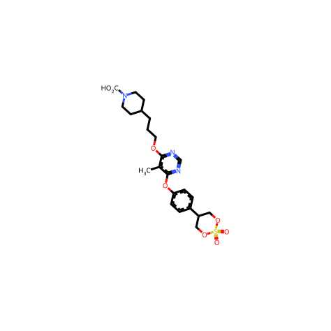 Cc1c(OCCCC2CCN(C(=O)O)CC2)ncnc1Oc1ccc(C2COS(=O)(=O)OC2)cc1